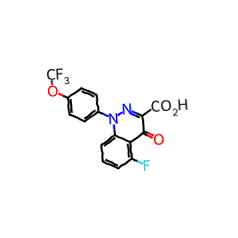 O=C(O)c1nn(-c2ccc(OC(F)(F)F)cc2)c2cccc(F)c2c1=O